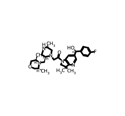 C[C@@H]1CN(CC(=O)N2CC(C)(C)c3ncc([C@@H](O)c4ccc(F)cc4)cc32)[C@@H](CN2[C@H](C)COC[C@H]2C)CN1